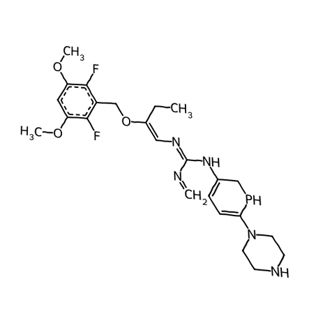 C=N/C(=N\C=C(/CC)OCc1c(F)c(OC)cc(OC)c1F)NC1=CC=C(N2CCNCC2)PC1